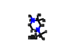 CCCCC(C)(C)N1CCN(C)C(C)(C)C1